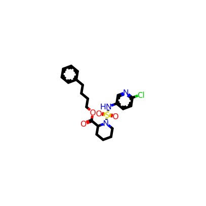 O=C(OCCCCc1ccccc1)C1CCCCN1S(=O)(=O)Nc1ccc(Cl)nc1